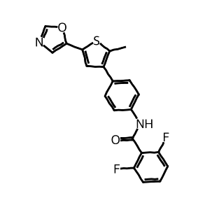 Cc1sc(-c2cnco2)cc1-c1ccc(NC(=O)c2c(F)cccc2F)cc1